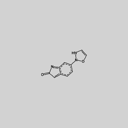 O=C1C=c2ccc(N3NC=CO3)cc2=N1